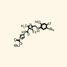 CCn1c(CNc2cc(C(C)(C)C)c(Cl)cc2O)nc(C)c1C(=O)NC1CN(C(=O)OC(C)(C)C)C1